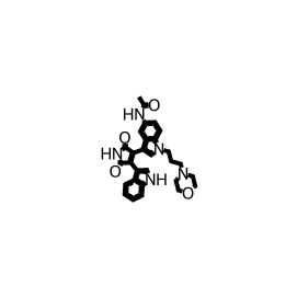 CC(=O)Nc1ccc2c(c1)c(C1=C(c3c[nH]c4ccccc34)C(=O)NC1=O)cn2CCCN1CCOCC1